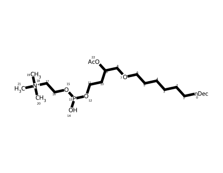 CCCCCCCCCCCCCCCCOCC(CCOP(O)OCC[N+](C)(C)C)OC(C)=O